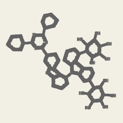 Oc1c(O)c(O)c(-c2ccc3c4c(-c5c(O)c(O)c(O)c(O)c5O)cccc4n(-c4cccc5oc6cc(-c7nc(-c8ccccc8)nc(-c8ccccc8)n7)ccc6c45)c3c2)c(O)c1O